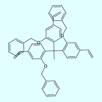 C=Cc1ccc(C(C)(c2ccc(C=C)cc2OCc2ccccc2)c2ccc(C=C)cc2OCc2ccccc2)c(OCc2ccccc2)c1